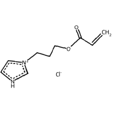 C=CC(=O)OCCC[n+]1cc[nH]c1.[Cl-]